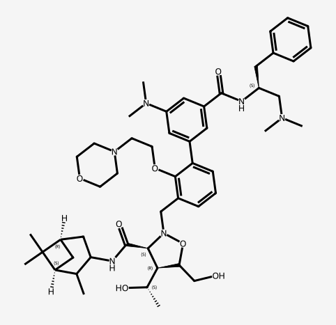 CC1C(NC(=O)[C@@H]2[C@H]([C@H](C)O)C(CO)ON2Cc2cccc(-c3cc(C(=O)N[C@@H](Cc4ccccc4)CN(C)C)cc(N(C)C)c3)c2OCCN2CCOCC2)C[C@H]2C[C@@H]1C2(C)C